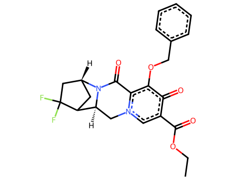 CCOC(=O)c1cn2c(c(OCc3ccccc3)c1=O)C(=O)N1[C@@H]3CC([C@@H]1C2)C(F)(F)C3